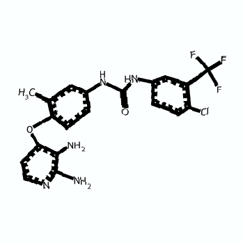 Cc1cc(NC(=O)Nc2ccc(Cl)c(C(F)(F)F)c2)ccc1Oc1ccnc(N)c1N